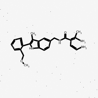 COCc1ccccc1-c1[nH]c2ccc(CNC(=O)C(/C=C\N)=C(\C)N)cc2c1C